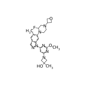 COc1nc(N2CC(C)(O)C2)cc(-n2ncc3cc(C)c(N4CCN(C5COC5)CC4F)cc32)n1